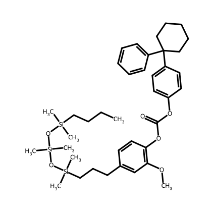 CCCC[Si](C)(C)O[Si](C)(C)O[Si](C)(C)CCCc1ccc(OC(=O)Oc2ccc(C3(c4ccccc4)CCCCC3)cc2)c(OC)c1